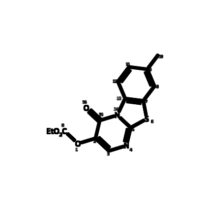 CCOC(=O)Oc1cnc2sc3cc(C)ccc3n2c1=O